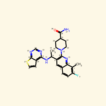 Cc1c(F)ccc2cc(C(C)Nc3ncnc4sccc34)c(N3CCC(C(N)=O)CC3)nc12